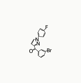 O=C(c1cccc(Br)c1)c1ccn(-c2ccc(F)cc2)n1